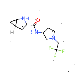 O=C(NC1CCN(CC(F)(F)F)C1)[C@@H]1C[C@H]2CC2N1